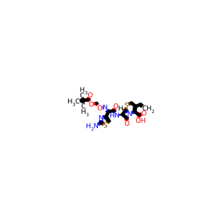 C=CC1=C(C(=O)O)N2C(=O)[C@@H](NC(=O)/C(=N/OCOC(=O)C(C)(C)C)c3csc(N)n3)[C@H]2SC1